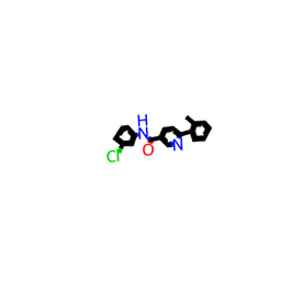 Cc1ccccc1-c1ccc(C(=O)Nc2cccc(Cl)c2)cn1